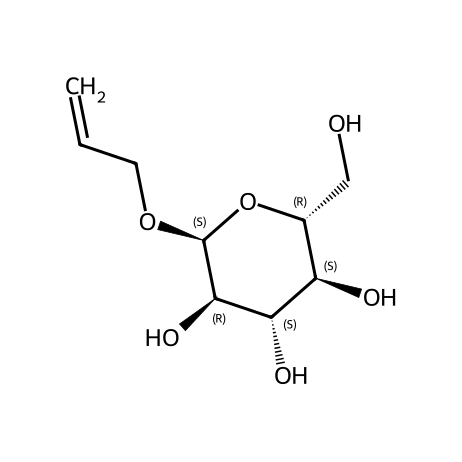 C=CCO[C@H]1O[C@H](CO)[C@@H](O)[C@H](O)[C@H]1O